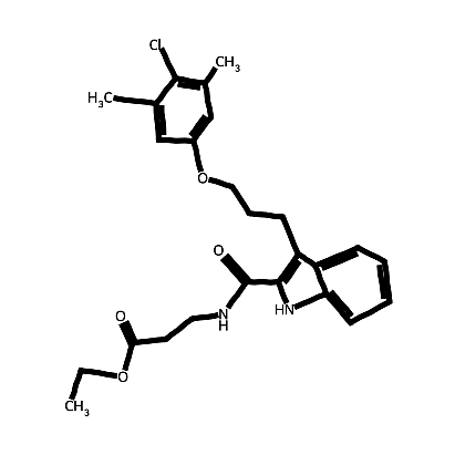 CCOC(=O)CCNC(=O)c1[nH]c2ccccc2c1CCCOc1cc(C)c(Cl)c(C)c1